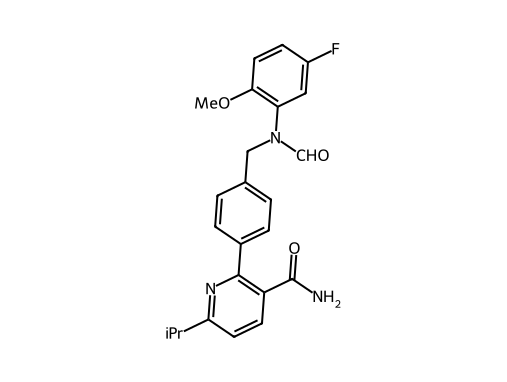 COc1ccc(F)cc1N(C=O)Cc1ccc(-c2nc(C(C)C)ccc2C(N)=O)cc1